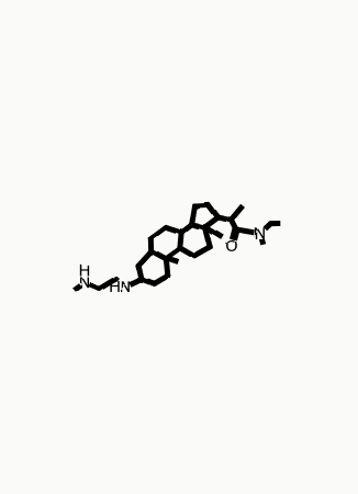 CCN(C)C(=O)C(C)C1CCC2C3CCC4CC(NCCNC)CCC4(C)C3CCC12C